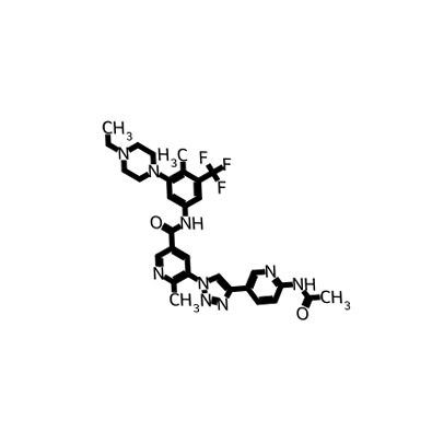 CCN1CCN(c2cc(NC(=O)c3cnc(C)c(-n4cc(-c5ccc(NC(C)=O)nc5)nn4)c3)cc(C(F)(F)F)c2C)CC1